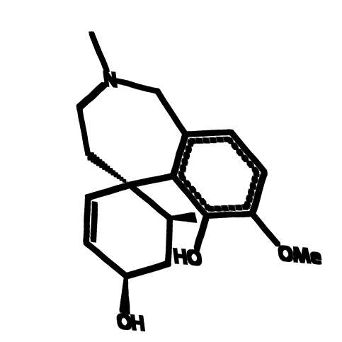 COc1ccc2c(c1O)[C@@]1(C=C[C@H](O)C[C@@H]1C)CCN(C)C2